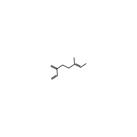 C=CC(=C)CC/C(C)=C/C